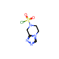 O=S(=O)(Cl)N1CCn2cnnc2C1